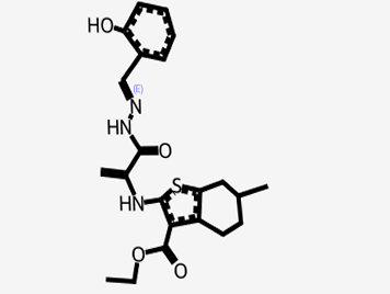 C=C(Nc1sc2c(c1C(=O)OCC)CCC(C)C2)C(=O)N/N=C/c1ccccc1O